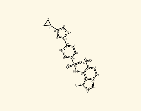 COc1ccc2cnn(C)c2c1NS(=O)(=O)c1ccc(-n2cc(C3CC3)cn2)nc1